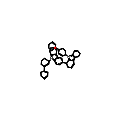 C1=CCCC(C2=CC(n3c4c(c5cc(C6CC=Cc7c8c(n(C9C=CC(C%10C=CCCC%10)CC9)c76)C=CCC8)ccc53)C=CCC4)CCC2)=C1